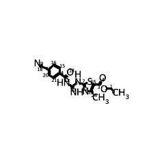 CCOC(=O)c1sc(NC(=N)NC(=O)c2ccc(C#N)cc2)nc1C